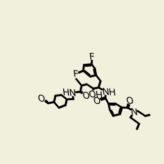 CCCN(CCC)C(=O)c1cccc(C(=O)NC(Cc2cc(F)cc(F)c2)C(O)CC(C)C(=O)NCC2CCC(C=O)CC2)c1